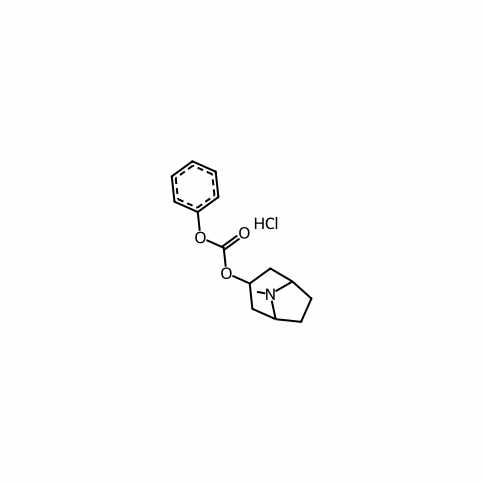 CN1C2CCC1CC(OC(=O)Oc1ccccc1)C2.Cl